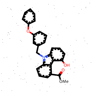 COC(=O)c1cccc2c1c1c(O)cccc1n2Cc1cccc(Oc2ccccc2)c1